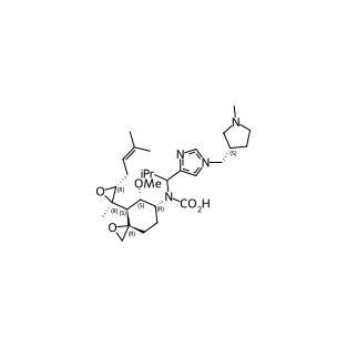 CO[C@@H]1[C@H](N(C(=O)O)C(c2cn(C[C@H]3CCN(C)C3)cn2)C(C)C)CC[C@]2(CO2)[C@H]1[C@@]1(C)O[C@@H]1CC=C(C)C